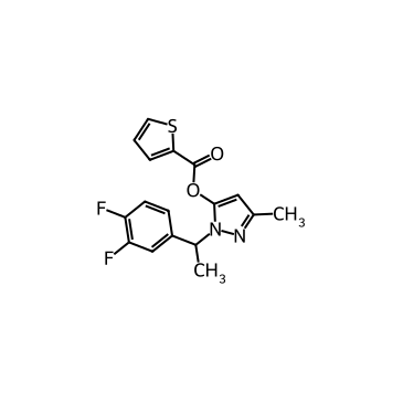 Cc1cc(OC(=O)c2cccs2)n(C(C)c2ccc(F)c(F)c2)n1